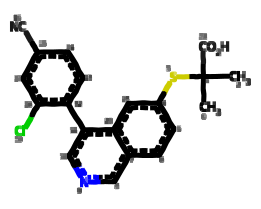 CC(C)(Sc1ccc2cncc(-c3ccc(C#N)cc3Cl)c2c1)C(=O)O